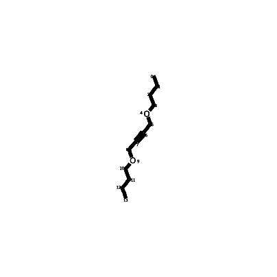 CCCCOCC#CCOCCCC